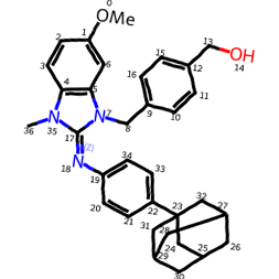 COc1ccc2c(c1)n(Cc1ccc(CO)cc1)/c(=N\c1ccc(C34CC5CC(CC(C5)C3)C4)cc1)n2C